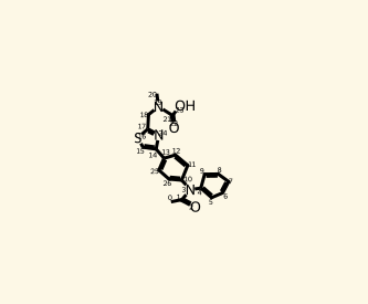 CC(=O)N(c1ccccc1)c1ccc(-c2csc(CN(C)C(=O)O)n2)cc1